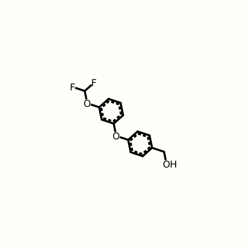 OCc1ccc(Oc2cccc(OC(F)F)c2)cc1